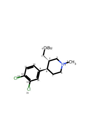 CC(C)COC[C@@H]1CN(C)CC[C@H]1c1ccc(Cl)c(Cl)c1